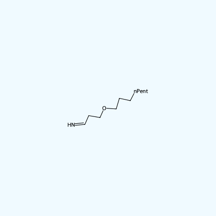 CCCCCCCCOCCC=N